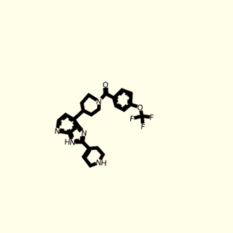 O=C(c1ccc(OC(F)(F)F)cc1)N1CCC(c2ccnc3[nH]c(C4=CCNCC4)nc23)CC1